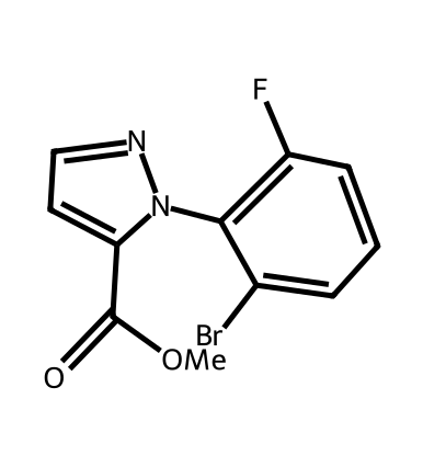 COC(=O)c1ccnn1-c1c(F)cccc1Br